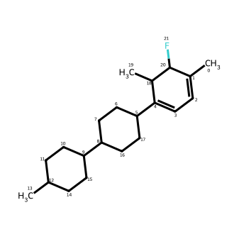 CC1=CC=C(C2CCC(C3CCC(C)CC3)CC2)C(C)C1F